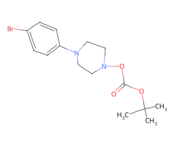 CC(C)(C)OC(=O)ON1CCN(c2ccc(Br)cc2)CC1